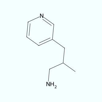 CC(CN)Cc1cccnc1